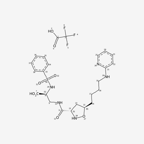 O=C(O)C(F)(F)F.O=C(O)[C@H](CNC(=O)[C@@H]1C[C@@H](CCCCNc2ccccn2)ON1)NS(=O)(=O)c1ccccc1